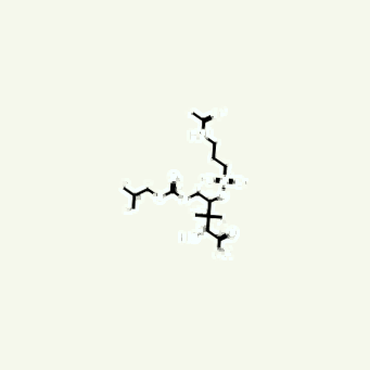 CC(=O)NCCCS(=O)(=O)OC(COC(=O)OCC(C)C)C(C)(C)[C@@H](O)C(=O)O